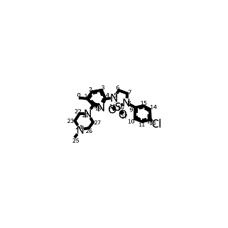 Cc1ccc(N2CCN(c3ccc(Cl)cc3)S2(=O)=O)nc1N1CCN(C)CC1